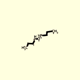 CCCPOPCCC